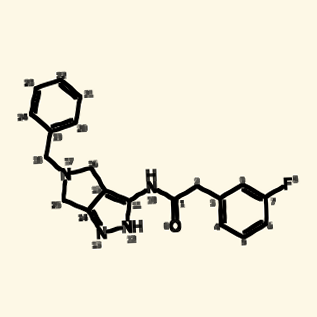 O=C(Cc1cccc(F)c1)Nc1[nH]nc2c1CN(Cc1ccccc1)C2